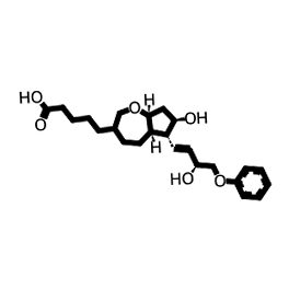 O=C(O)CCCCC1CC[C@@H]2[C@@H](/C=C/[C@@H](O)COc3ccccc3)[C@H](O)C[C@@H]2OC1